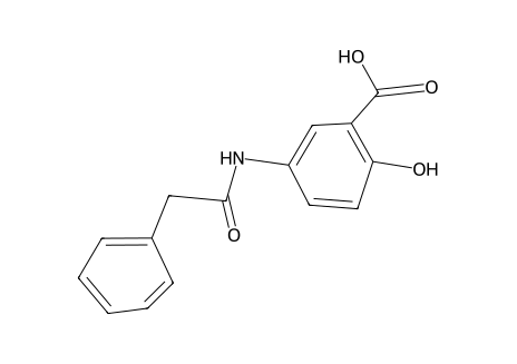 O=C(Cc1ccccc1)Nc1ccc(O)c(C(=O)O)c1